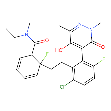 CCN(C)C(=O)C1C=CC=CC1(F)CCc1c(Cl)ccc(F)c1-c1c(O)c(C)nn(C)c1=O